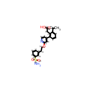 CC(C)c1cccc(-c2ccnc(OCCc3cccc(S(N)(=O)=O)c3)c2)c1CC(=O)O